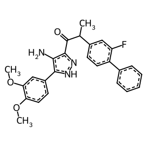 COc1ccc(-c2[nH]nc(C(=O)C(C)c3ccc(-c4ccccc4)c(F)c3)c2N)cc1OC